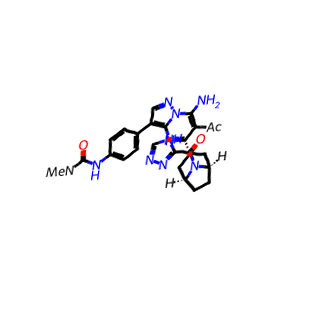 CNC(=O)Nc1ccc(-c2cnn3c(N)c(C(C)=O)c([C@@H]4C[C@H]5CC[C@@H](C4)N5C(=O)c4nnc[nH]4)nc23)cc1